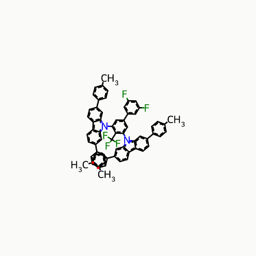 Cc1ccc(-c2ccc3c4ccc(-c5ccc(C)cc5)cc4n(-c4cc(-c5cc(F)cc(F)c5)cc(-n5c6cc(-c7ccc(C)cc7)ccc6c6ccc(-c7ccc(C)cc7)cc65)c4C(F)(F)F)c3c2)cc1